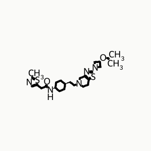 Cc1ncc(CC(=O)N[C@H]2CC[C@H](CCN3CCc4sc(N5CC(OC(C)C)C5)nc4C3)CC2)s1